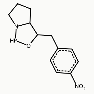 O=[N+]([O-])c1ccc(CC2OPN3CCCC23)cc1